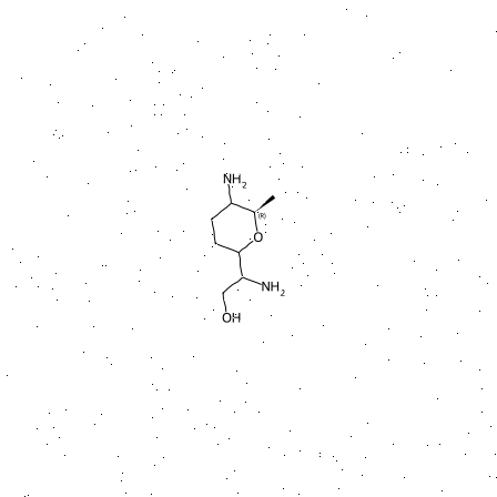 C[C@H]1OC(C(N)CO)CCC1N